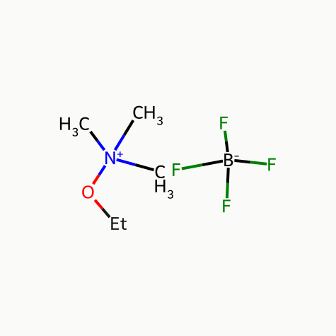 CCO[N+](C)(C)C.F[B-](F)(F)F